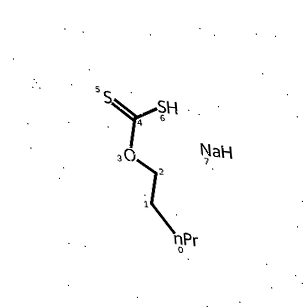 CCCCCOC(=S)S.[NaH]